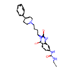 CCNC(=O)Nc1ccc2c(=O)n(CCCCN3CC=C(c4ccccc4)CC3)c(=O)[nH]c2c1